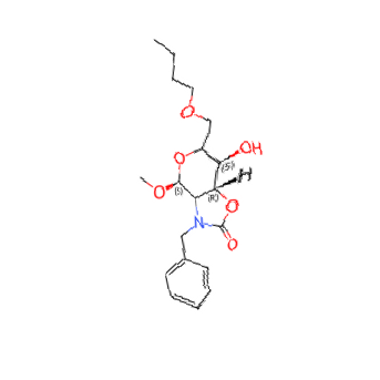 CCCCOCC1O[C@H](OC)C2[C@@H](OC(=O)N2Cc2ccccc2)[C@@H]1O